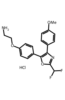 COc1ccc(-c2nc(C(F)F)oc2-c2ccc(OCCN)cc2)cc1.Cl